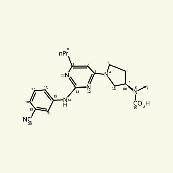 CCCc1cc(N2CC[C@@H](N(C)C(=O)O)C2)nc(Nc2cccc(C#N)c2)n1